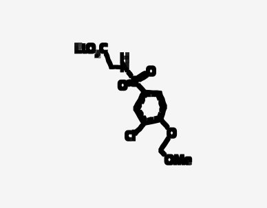 CCOC(=O)CNS(=O)(=O)c1ccc(OCOC)c(Cl)c1